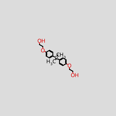 C[Si](C)(c1ccc(OCCO)cc1)c1ccc(OCCO)cc1